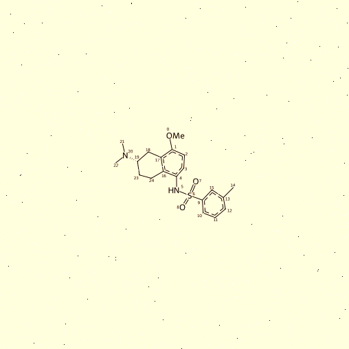 COc1ccc(NS(=O)(=O)c2cccc(C)c2)c2c1C[C@@H](N(C)C)CC2